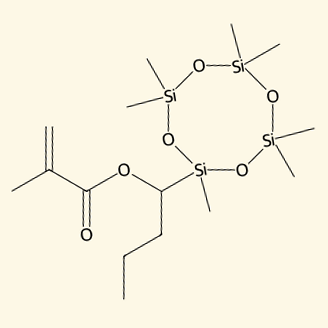 C=C(C)C(=O)OC(CCC)[Si]1(C)O[Si](C)(C)O[Si](C)(C)O[Si](C)(C)O1